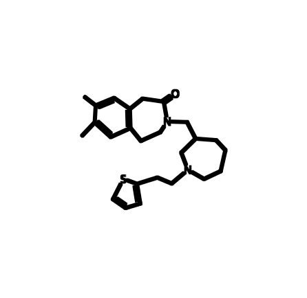 Cc1cc2c(cc1C)CC(=O)N(CC1CCCCN(CCc3cccs3)C1)CC2